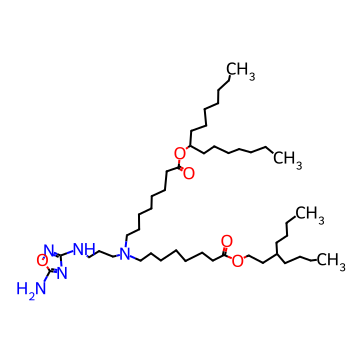 CCCCCCCC(CCCCCCC)OC(=O)CCCCCCCN(CCCCCCCC(=O)OCCC(CCCC)CCCC)CCCNc1noc(N)n1